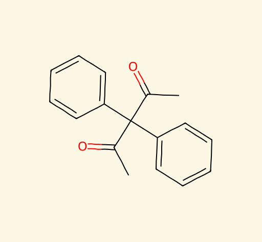 CC(=O)C(C(C)=O)(c1ccccc1)c1ccccc1